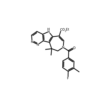 CCOC(=O)C1=CN(C(=O)c2ccc(F)c(C)c2)CC(C)(C)c2c1[nH]c1ccnnc21